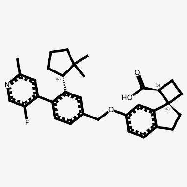 Cc1cc(-c2ccc(COc3ccc4c(c3)[C@@]3(CC4)CC[C@@H]3C(=O)O)cc2[C@@H]2CCCC2(C)C)c(F)cn1